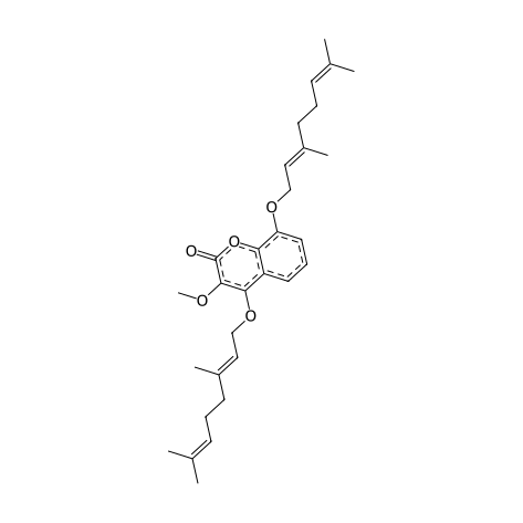 COc1c(OC/C=C(\C)CCC=C(C)C)c2cccc(OC/C=C(\C)CCC=C(C)C)c2oc1=O